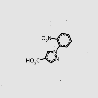 O=C(O)c1cnn(-c2ccccc2[N+](=O)[O-])c1